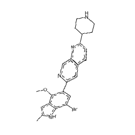 COc1c(-c2cc3ccc(C4CCNCC4)nc3cn2)cc(Br)c2[nH]c(C)cc12